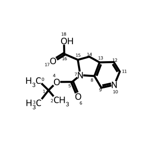 CC(C)(C)OC(=O)N1c2cnccc2CC1C(=O)O